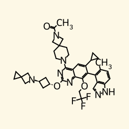 CC(=O)N1CC2(CCN(c3nc(O[C@H]4C[C@H](N5CC6(CC6)C5)C4)nc4c(OCC(F)(F)F)c(-c5c(C)ccc6[nH]ncc56)c(C5CC5)cc34)CC2)C1